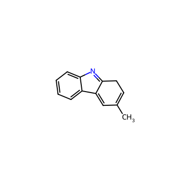 CC1=CCC2=Nc3ccccc3C2=C1